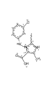 Cc1[nH]c(=S)n(Nc2cccc(Cl)c2)c1C(=O)O